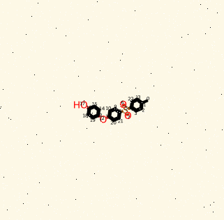 Cc1ccc(S(=O)(=O)c2ccc(Oc3ccc(O)cc3)cc2)cc1